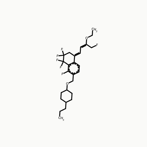 CCCC1CCC(OCc2ccc3c(c2F)C(F)(F)C(F)(F)C/C3=C\C=C(/CF)OCC)CC1